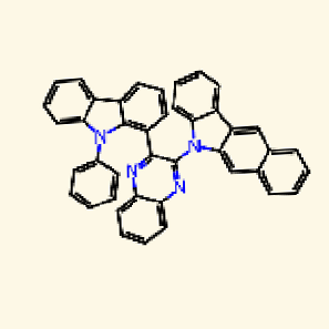 c1ccc(-n2c3ccccc3c3cccc(-c4nc5ccccc5nc4-n4c5ccccc5c5cc6ccccc6cc54)c32)cc1